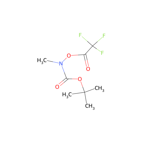 CN(OC(=O)C(F)(F)F)C(=O)OC(C)(C)C